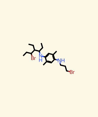 CCC(Br)C(CC)C(CC)Nc1cc(C)c(NCCCBr)cc1C